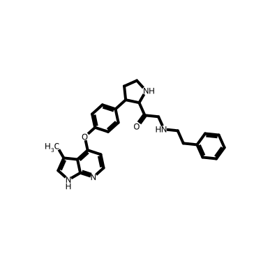 Cc1c[nH]c2nccc(Oc3ccc(C4CCNC4C(=O)CNCCc4ccccc4)cc3)c12